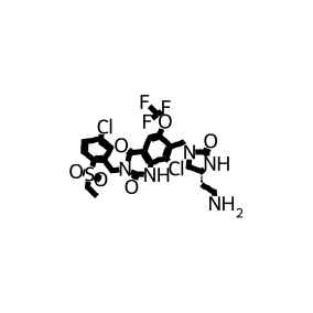 CCS(=O)(=O)c1ccc(Cl)cc1Cn1c(=O)[nH]c2c(Cl)c(CN3C[C@@H](CCN)NC3=O)c(OC(F)(F)F)cc2c1=O